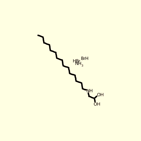 Br.Br.CCCCCCCCCCCCCCCNCC(O)O.N